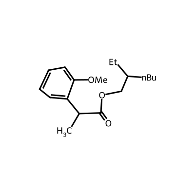 CCCCC(CC)COC(=O)C(C)c1ccccc1OC